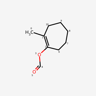 CC1=C(OC=O)CCCCC1